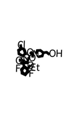 CCOc1c(F)ccc(F)c1C(C)(CCOC(=O)N1CCC(CCO)CC1)S(=O)(=O)C1C=CC(Cl)=CC1